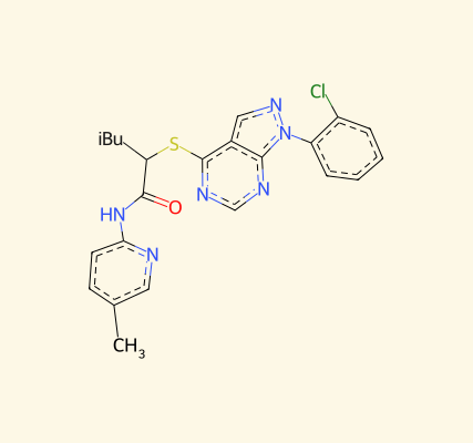 CCC(C)C(Sc1ncnc2c1cnn2-c1ccccc1Cl)C(=O)Nc1ccc(C)cn1